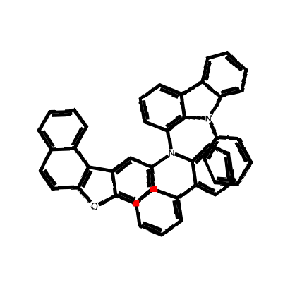 C1=CCCC(c2ccccc2N(c2ccc3oc4ccc5ccccc5c4c3c2)c2cccc3c4ccccc4n(-c4ccccc4)c23)=C1